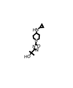 CC(C)(O)c1noc(N2CCC(NC3CC3)CC2)n1